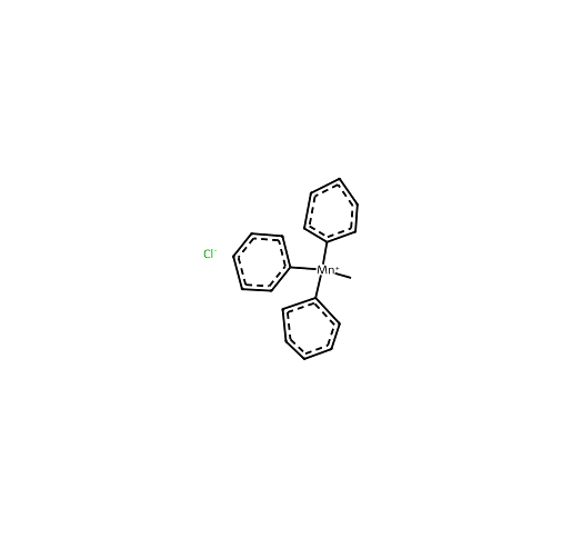 [CH3][Mn+]([c]1ccccc1)([c]1ccccc1)[c]1ccccc1.[Cl-]